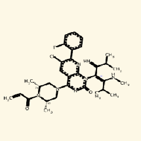 C=CC(=O)N1[C@H](C)CN(c2nc(=O)n(/C(C(=N)C(C)C)=C(/NC)C(C)C)c3nc(-c4ccccc4F)c(Cl)cc23)C[C@@H]1C